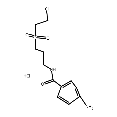 Cl.Nc1ccc(C(=O)NCCCS(=O)(=O)CCCl)cc1